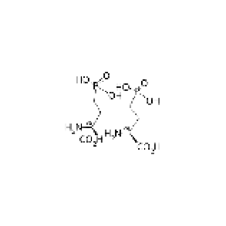 N[C@@H](CCP(=O)(O)O)C(=O)O.N[C@@H](CCP(=O)(O)O)C(=O)O